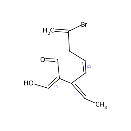 C=C(Br)C\C=C/C(=C\C)C(/C=O)=C/O